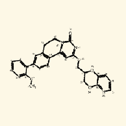 COc1ncccc1-c1ccc2c(c1)CCn1c-2cc(OCC2COc3ncccc3O2)nc1=O